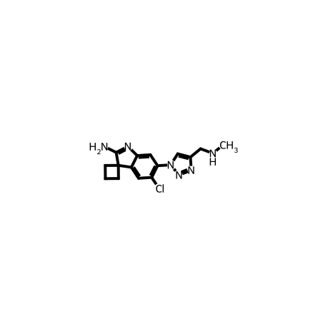 CNCc1cn(-c2cc3c(cc2Cl)C2(CCC2)C(N)=N3)nn1